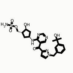 CC(C)(O)c1cccc(Cn2ccc(C(=O)c3cncnc3N[C@@H]3C[C@H](COS(N)(=O)=O)[C@@H](O)C3)n2)c1